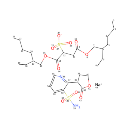 CCCCC(CC)COC(=O)CC(C(=O)OCC(CC)CCCC)S(=O)(=O)[O-].NS(=O)(=O)c1cccnc1C1CCOC1=O.[Na+]